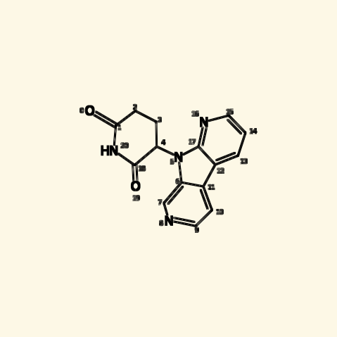 O=C1CCC(n2c3cnccc3c3cccnc32)C(=O)N1